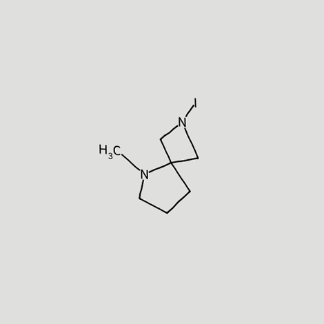 CN1CCCC12CN(I)C2